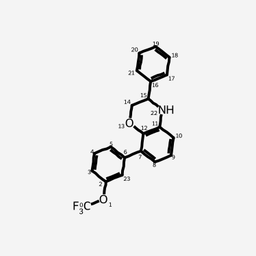 FC(F)(F)Oc1cccc(-c2cccc3c2OCC(c2ccccc2)N3)c1